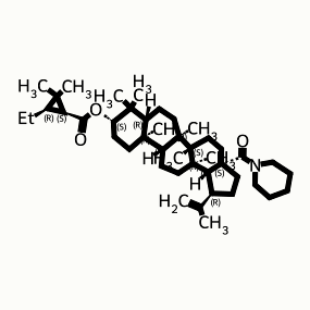 C=C(C)[C@@H]1CC[C@]2(C(=O)N3CCCCC3)CC[C@@]3(C)[C@]4(C)CC[C@H]5C(C)(C)[C@@H](OC(=O)[C@H]6[C@@H](CC)C6(C)C)CC[C@]5(C)[C@H]4CC[C@]3(C)[C@@H]12